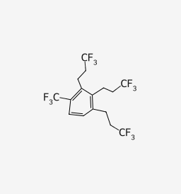 FC(F)(F)CCc1ccc(C(F)(F)F)c(CCC(F)(F)F)c1CCC(F)(F)F